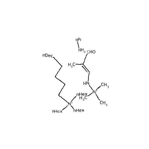 CC(C=O)=CN[N+](C)(C)C.CCCCCCCCCCCCCC[N+](CCCCCC)(CCCCCC)CCCCCC.CCCN